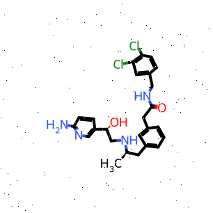 C[C@H](Cc1cccc(CC(=O)NCc2ccc(Cl)c(Cl)c2)c1)NC[C@@H](O)c1ccc(N)nc1